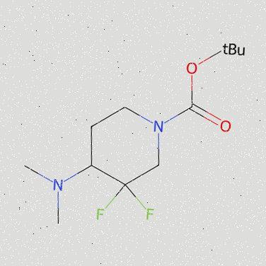 CN(C)C1CCN(C(=O)OC(C)(C)C)CC1(F)F